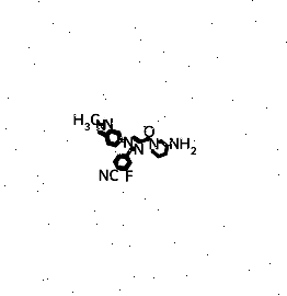 Cn1cc2ccc(-n3cc(C(=O)N4CCC[C@@H](N)C4)nc3-c3ccc(C#N)c(F)c3)cc2n1